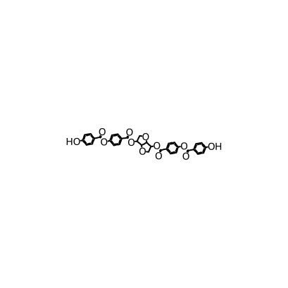 O=C(Oc1ccc(C(=O)OC2COC3C(OC(=O)c4ccc(OC(=O)c5ccc(O)cc5)cc4)COC23)cc1)c1ccc(O)cc1